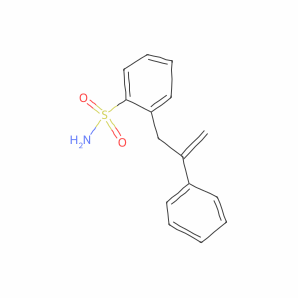 C=C(Cc1ccccc1S(N)(=O)=O)c1ccccc1